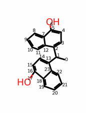 CC(c1ccc(O)c2ccccc12)c1ccc(O)c2ccccc12